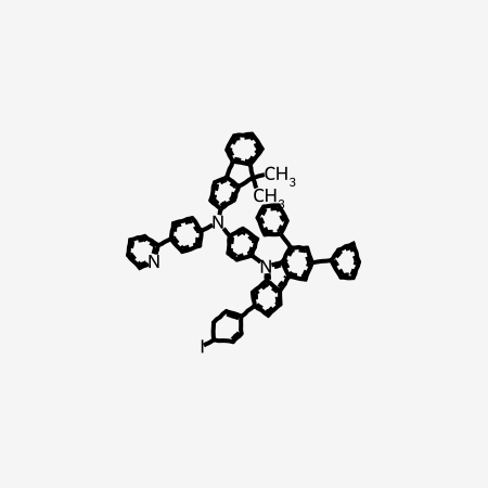 CC1(C)c2ccccc2-c2ccc(N(c3ccc(-c4ccccn4)cc3)c3ccc(-n4c5cc(C6=CCC(I)C=C6)ccc5c5cc(-c6ccccc6)cc(-c6ccccc6)c54)cc3)cc21